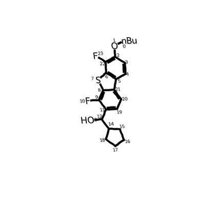 CCCCOc1ccc2c(sc3c(F)c(C(O)C4CCCC4)ccc32)c1F